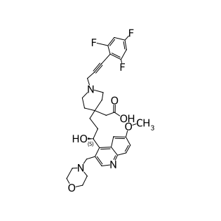 COc1ccc2ncc(CN3CCOCC3)c([C@@H](O)CCC3(CC(=O)O)CCN(CC#Cc4c(F)cc(F)cc4F)CC3)c2c1